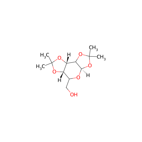 CC1(C)OC2[C@H](OC(CO)[C@@H]3OC(C)(C)O[C@H]23)O1